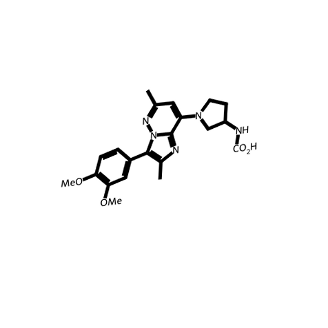 COc1ccc(-c2c(C)nc3c(N4CCC(NC(=O)O)C4)cc(C)nn23)cc1OC